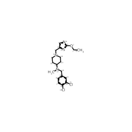 CCOc1ncc(CN2CCC(N(C)Cc3ccc(Cl)c(Cl)c3)CC2)s1